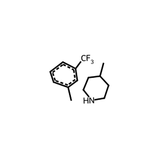 CC1CCNCC1.Cc1cccc(C(F)(F)F)c1